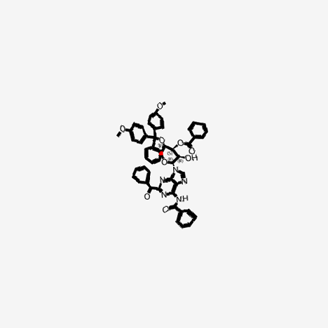 COc1ccc(C(O[C@@H]2CO[C@@H](n3cnc4c(NC(=O)c5ccccc5)nc(C(=O)c5ccccc5)nc43)[C@H](O)[C@@H]2OC(=O)c2ccccc2)(c2ccccc2)c2ccc(OC)cc2)cc1